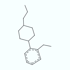 CCCC1CCC(c2ccccc2CC)CC1